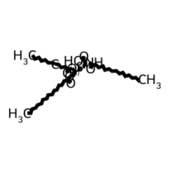 CCCCCCCCCCCCCCCC(=O)NC(CSC[C@@H](COC(=O)CCCCCCCCCCCCCCC)OC(=O)CCCCCCCCCCC)C(=O)O